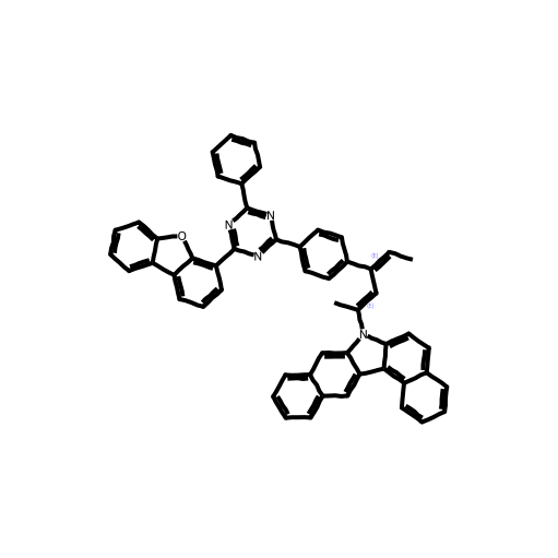 C/C=C(\C=C(/C)n1c2cc3ccccc3cc2c2c3ccccc3ccc21)c1ccc(-c2nc(-c3ccccc3)nc(-c3cccc4c3oc3ccccc34)n2)cc1